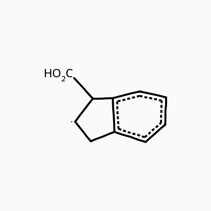 O=C(O)C1[CH]Cc2ccccc21